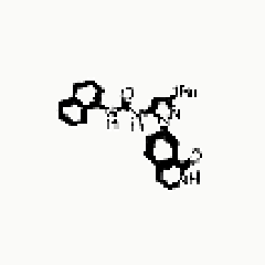 CC(C)(C)c1cc(NC(=O)Nc2cccc3ccccc23)n(-c2ccc3c(c2)C(=O)NCC3)n1